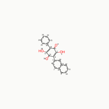 O=C1C(O)=C(c2ccc3ccccc3c2)C(=O)C(O)=C1c1ccccc1